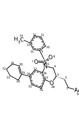 CC(=O)CC[C@H]1CN(S(=O)(=O)c2cccc(C)c2)c2cc(C3=CCCCC3)ccc2O1